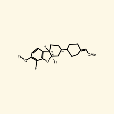 CCOc1ccc2c(c1F)O[C@@H]1C[C@H](C3CCC(=COC)CC3)CC[C@@H]21